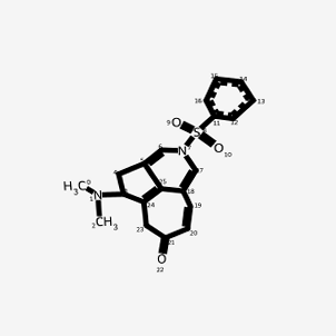 CN(C)C1CC2=CN(S(=O)(=O)c3ccccc3)C=C3C=CC(=O)CC1=C32